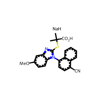 COc1ccc2c(c1)nc(SC(C)(C)C(=O)O)n2-c1ccc(C#N)c2ccccc12.[NaH]